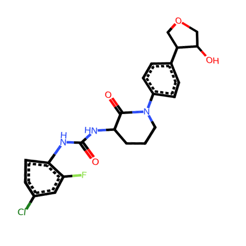 O=C(Nc1ccc(Cl)cc1F)NC1CCCN(c2ccc(C3COCC3O)cc2)C1=O